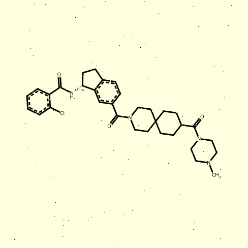 CN1CCN(C(=O)C2CCC3(CC2)CCN(C(=O)c2ccc4c(c2)[C@H](NC(=O)c2ccccc2Cl)CC4)CC3)CC1